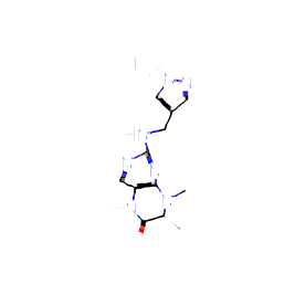 Bn1cc(CNc2ncc3c(n2)N(C)[C@@H](C)C(=O)N3)cn1